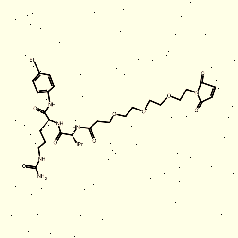 CCc1ccc(NC(=O)[C@H](CCCNC(N)=O)NC(=O)[C@@H](NC(=O)CCOCCOCCOCCN2C(=O)C=CC2=O)C(C)C)cc1